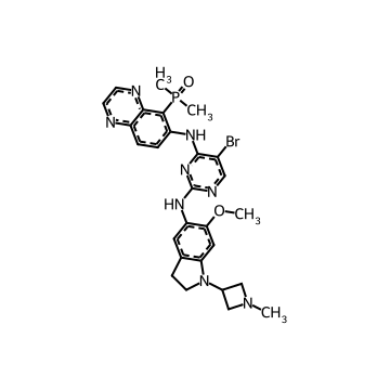 COc1cc2c(cc1Nc1ncc(Br)c(Nc3ccc4nccnc4c3P(C)(C)=O)n1)CCN2C1CN(C)C1